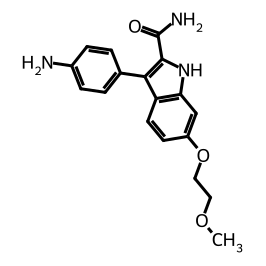 COCCOc1ccc2c(-c3ccc(N)cc3)c(C(N)=O)[nH]c2c1